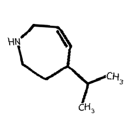 CC(C)C1C=CCNCC1